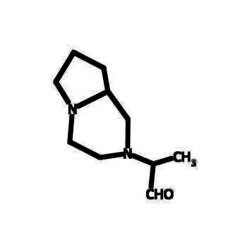 CC(C=O)N1CCN2CCCC2C1